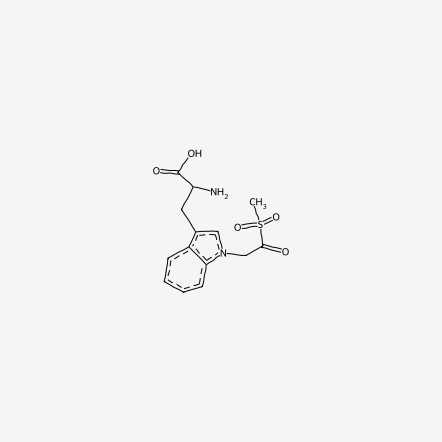 CS(=O)(=O)C(=O)Cn1cc(CC(N)C(=O)O)c2ccccc21